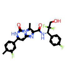 Cc1ccc(-c2cc3nc(C(=O)N[C@@H](c4ccc(F)cc4)C(F)(F)CO)c(C)n3c(=O)[nH]2)cc1F